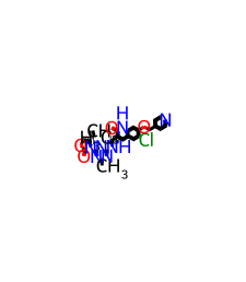 CC[C@H]1COC(=O)N1c1nc(C)nc(N[C@@H](C)c2cc3cc(Cl)c(OCc4ccncc4)cc3[nH]c2=O)n1